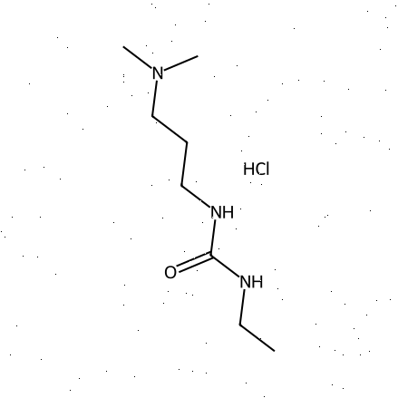 CCNC(=O)NCCCN(C)C.Cl